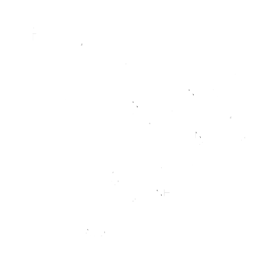 CC(=O)O[C@@H](C)C(=O)Nc1cc(NCc2c(C)cc(F)cc2C)c2nc(C)c(C)n2c1